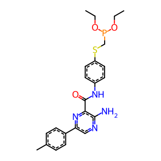 CCOP(CSc1ccc(NC(=O)c2nc(-c3ccc(C)cc3)cnc2N)cc1)OCC